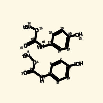 CC(C)(C)OC(=O)Nc1ccc(O)cc1.CC(C)(C)OC(=O)Nc1ccc(O)cc1